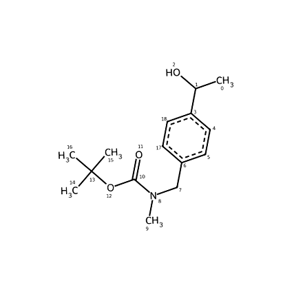 CC(O)c1ccc(CN(C)C(=O)OC(C)(C)C)cc1